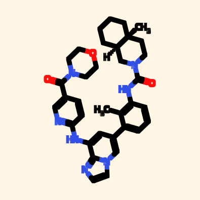 Cc1c(NC(=O)N2CC[C@@]3(C)CCCC[C@@H]3C2)cccc1-c1cc(Nc2ccc(C(=O)N3CCOCC3)cn2)c2nccn2c1